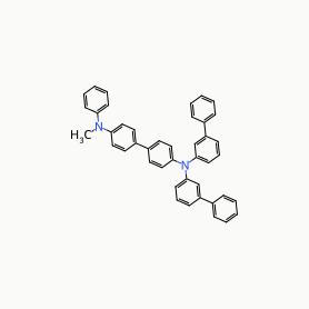 CN(c1ccccc1)c1ccc(-c2ccc(N(c3cccc(-c4ccccc4)c3)c3cccc(-c4ccccc4)c3)cc2)cc1